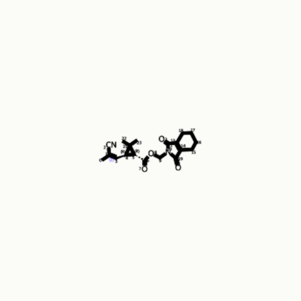 C/C(C#N)=C/[C@@H]1[C@@H](C(=O)OCN2C(=O)C3=C(CCCC3)C2=O)C1(C)C